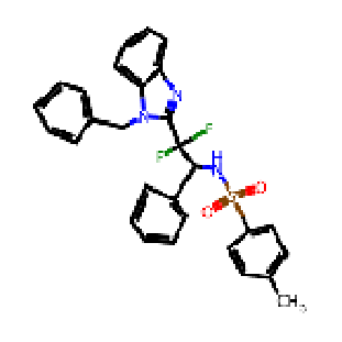 Cc1ccc(S(=O)(=O)NC(c2ccccc2)C(F)(F)c2nc3ccccc3n2Cc2ccccc2)cc1